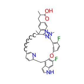 CC(Cc1cccc(C2(C)CCCCCc3ccc(nc3)Cc3c(c(F)cc4[nH]ccc34)Oc3ccc(F)c(c3)-c3nc2nn3C)c1)C(=O)O